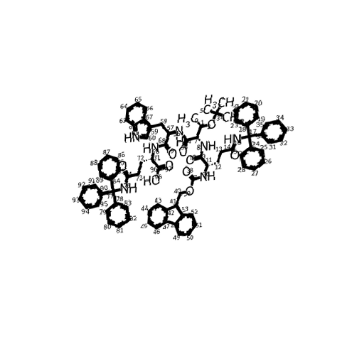 C[C@@H](OC(C)(C)C)[C@H](NC(=O)[C@H](CCC(=O)NC(c1ccccc1)(c1ccccc1)c1ccccc1)NC(=O)OCC1c2ccccc2-c2ccccc21)C(=O)NC(Cc1c[nH]c2ccccc12)C(=O)N[C@@H](CCC(=O)NC(c1ccccc1)(c1ccccc1)c1ccccc1)C(=O)O